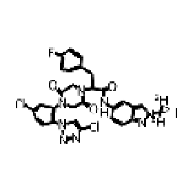 [2H]C([2H])([2H])n1cc2cc(NC(=O)C(Cc3ccc(F)cc3)N3CC(=O)N(c4cc(Cl)ccc4-n4cc(Cl)nn4)CC3=O)ccc2n1